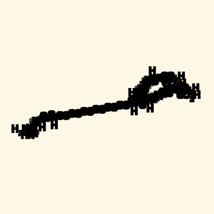 Nc1nc(OCc2ccc(CNC(=O)CCCC(=O)NCCOCCOCCOCCOCCOCCOCCOCCOCCOCCOCCOCCOCCC(=O)N[C@H](CCC(=O)NCC(=O)Nc3ccc(/N=N/c4ccc(NC(=O)CCC[C@@H](C[C@H](N)C(=O)O)C(=O)O)cc4)cc3)C(=O)NCC(=O)Nc3ccc(/N=N/c4ccc(NC(=O)CCC[C@@H](C[C@H](N)C(=O)O)C(=O)O)cc4)cc3)cc2)c2nc[nH]c2n1